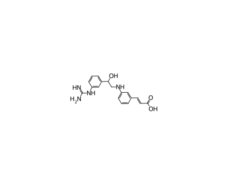 N=C(N)Nc1cccc(C(O)CNc2cccc(C=CC(=O)O)c2)c1